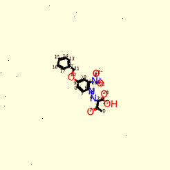 CC(=O)C(/N=N/c1ccc(OCc2ccccc2)cc1[N+](=O)[O-])C(=O)O